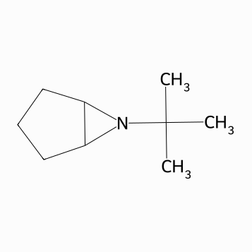 CC(C)(C)N1C2CCCC21